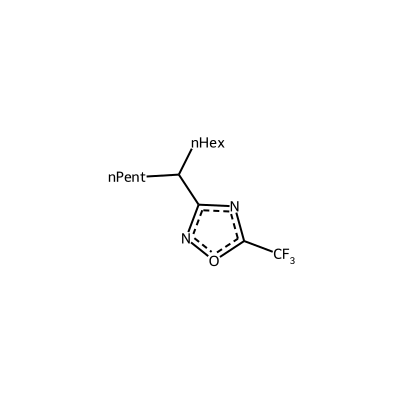 CCCCCCC(CCCCC)c1noc(C(F)(F)F)n1